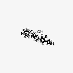 CN(c1nc2ncc(-c3ccc(-c4cn[nH]c4)c(F)c3F)nc2s1)C1CC(C)(C)NC(C)(C)C1.Cl